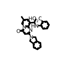 Cc1cc(C(C)Nc2ccccc2C(=O)O)c2nc(N3Cc4ccccc4C3)cc(=O)n2c1